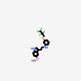 CCCOc1ccc2[nH]cc(CCNc3cccc(OCC(F)(F)C(F)F)c3)c2c1